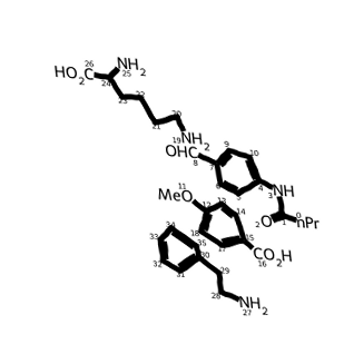 CCCC(=O)Nc1ccc(C=O)cc1.COc1ccc(C(=O)O)cc1.NCCCCC(N)C(=O)O.NCCc1ccccc1